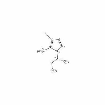 C[C@H](CN)n1ncc(I)c1C(=O)O